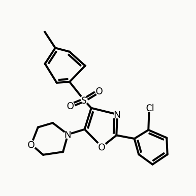 Cc1ccc(S(=O)(=O)c2nc(-c3ccccc3Cl)oc2N2CCOCC2)cc1